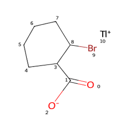 O=C([O-])C1CCCCC1Br.[Tl+]